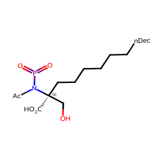 CCCCCCCCCCCCCCCC[C@](CO)(C(=O)O)N(C(C)=O)P(=O)=O